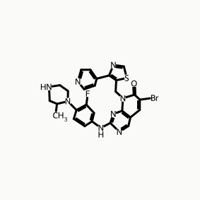 CC1CNCCN1c1ccc(Nc2ncc3cc(Br)c(=O)n(Cc4scnc4-c4ccncc4)c3n2)cc1F